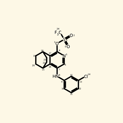 O=S(=O)(Oc1ncc(Nc2cccc(Cl)c2)c2c1C1CCC2CC1)C(F)(F)F